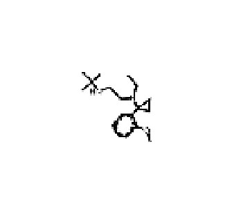 CCN(CCNC(C)(C)C)C1(c2ccccc2OC)CC1